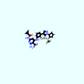 COc1c(Nc2cc(NC(=O)C3CC3)nnc2C(N)=O)cccc1-c1cnn(C2CCC[C@H]2OC(F)F)c1